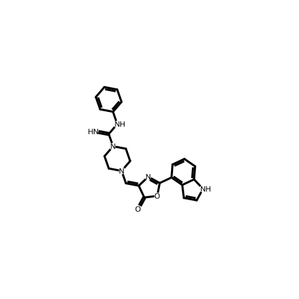 N=C(Nc1ccccc1)N1CCN(C=C2N=C(c3cccc4[nH]ccc34)OC2=O)CC1